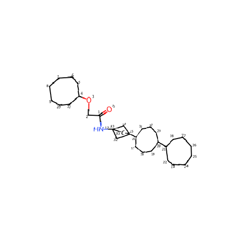 O=C(COC1CCCCCCC1)NC12CC(C3CCCC(C4CCCCCCC4)CCC3)(C1)C2